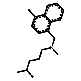 Cc1ccc(CN(C)CCCC(C)C)c2ccccc12